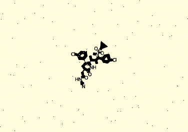 CC(C(C)[C@@H]1NC(=O)[C@@H](CC(=O)NC#N)C[C@@H]1c1cccc(Cl)c1)C(c1ccc(Cl)cc1)N(C)S(=O)(=O)C1CC1